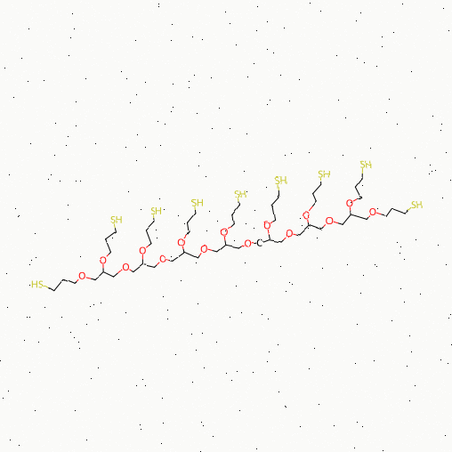 SCCCOCC(COCC(COCC(COCC(COCC(COCC(COCC(COCCCS)OCCCS)OCCCS)OCCCS)OCCCS)OCCCS)OCCCS)OCCCS